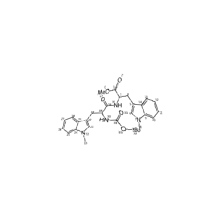 COC(=O)C(Cc1cn(C)c2ccccc12)NC(=O)C(Cc1cn(C)c2ccccc12)NC(=O)OC(C)(C)C